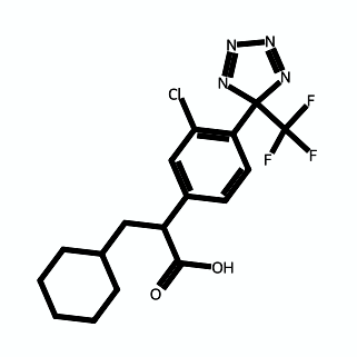 O=C(O)C(CC1CCCCC1)c1ccc(C2(C(F)(F)F)N=NN=N2)c(Cl)c1